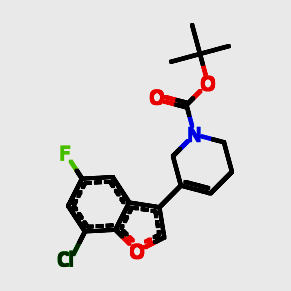 CC(C)(C)OC(=O)N1CCC=C(c2coc3c(Cl)cc(F)cc23)C1